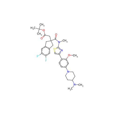 COc1cc(N2CCC(N(C)C)CC2)ccc1-c1csc(N(C)C(=O)C2(CC(=O)OC(C)(C)C)Cc3cc(F)c(F)cc3C2)n1